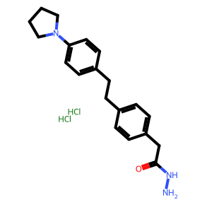 Cl.Cl.NNC(=O)Cc1ccc(CCc2ccc(N3CCCC3)cc2)cc1